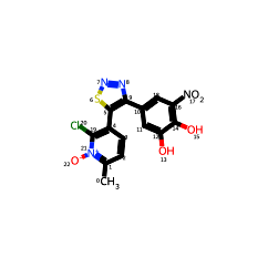 Cc1ccc(-c2snnc2-c2cc(O)c(O)c([N+](=O)[O-])c2)c(Cl)[n+]1[O-]